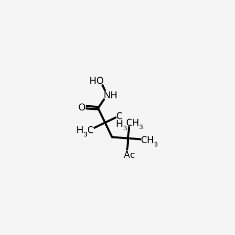 CC(=O)C(C)(C)CC(C)(C)C(=O)NO